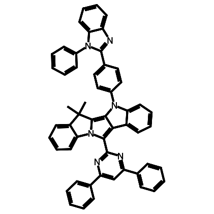 CC1(C)c2ccccc2-n2c(-c3nc(-c4ccccc4)cc(-c4ccccc4)n3)c3c4ccccc4n(-c4ccc(-c5nc6ccccc6n5-c5ccccc5)cc4)c3c21